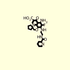 Nc1c(F)c(NCCNC(=O)c2ccccn2)c2c3c1c(=O)c(C(=O)O)cn3C1(CCCC1)CO2